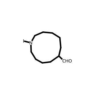 O=CC1CCCCCN(I)CCCC1